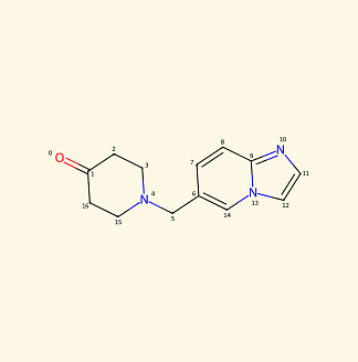 O=C1CCN(Cc2ccc3nccn3c2)CC1